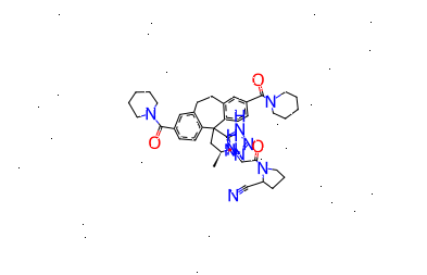 C[C@@H](CC1(c2nnn[nH]2)c2ccc(C(=O)N3CCCCC3)cc2CCc2cc(C(=O)N3CCCCC3)ccc21)NCC(=O)N1CCCC1C#N